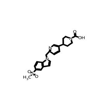 CS(=O)(=O)c1ccc2c(ccn2Cc2ccc(C3CCN(C(=O)O)CC3)cn2)c1